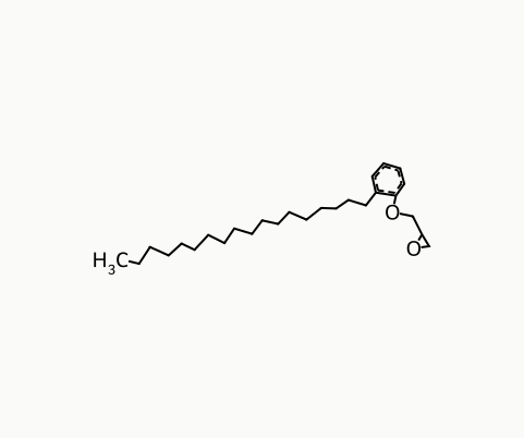 CCCCCCCCCCCCCCCCCCc1ccccc1OCC1CO1